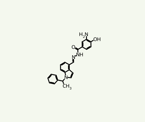 CC(c1ccccc1)n1ccc2c(/C=N/NC(=O)c3ccc(O)c(N)c3)cccc21